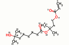 C=CC(=O)OCCC(C)(C)OC(=O)CCCCCC(C)(C)O